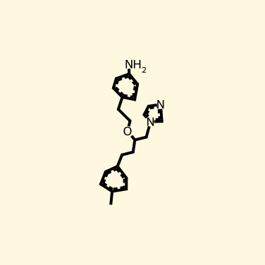 Cc1ccc(CCC(Cn2ccnc2)OCCc2ccc(N)cc2)cc1